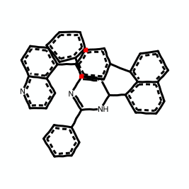 c1ccc(C2=NC(c3cccc4cccc(-c5ccc(-c6cccc7ncccc67)cc5)c34)NC(c3ccccc3)=N2)cc1